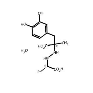 CC(C)[C@H](NN[C@@](C)(Cc1ccc(O)c(O)c1)C(=O)O)C(=O)O.O